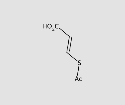 CC(=O)S/C=C/C(=O)O